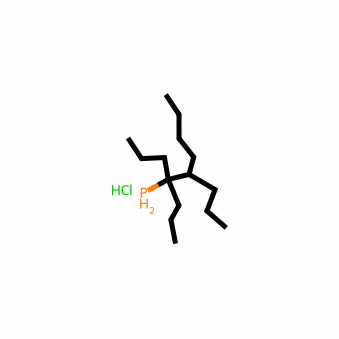 CCCCC(CCC)C(P)(CCC)CCC.Cl